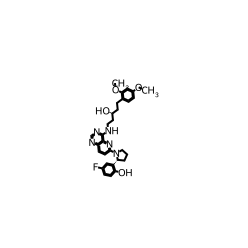 COc1ccc(CC[C@@H](O)CCNc2ncnc3ccc(N4CCC[C@@H]4c4cc(F)ccc4O)nc23)c(OC)c1